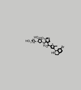 Cc1sc(C(=O)c2cncnc2N[C@@H]2C[C@H](CNS(=O)(=O)O)[C@@H](O)[C@H]2O)cc1[C@@H]1NCCc2ccc(Br)cc21